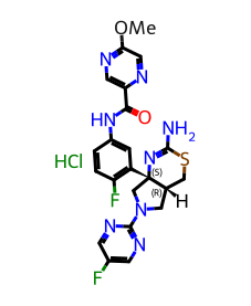 COc1cnc(C(=O)Nc2ccc(F)c([C@]34CN(c5ncc(F)cn5)C[C@H]3CSC(N)=N4)c2)cn1.Cl